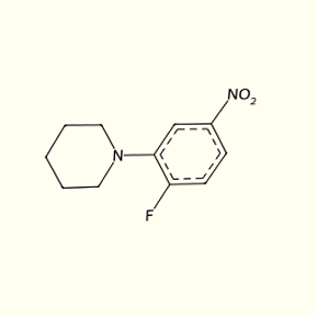 O=[N+]([O-])c1ccc(F)c(N2CCCCC2)c1